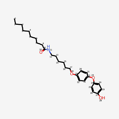 CCCCCCCCCC(=O)NCCCCCCOc1ccc(Oc2ccc(O)cc2)cc1